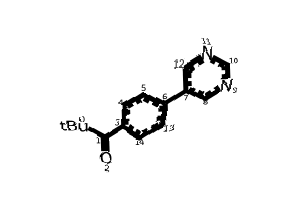 CC(C)(C)C(=O)c1ccc(-c2cncnc2)cc1